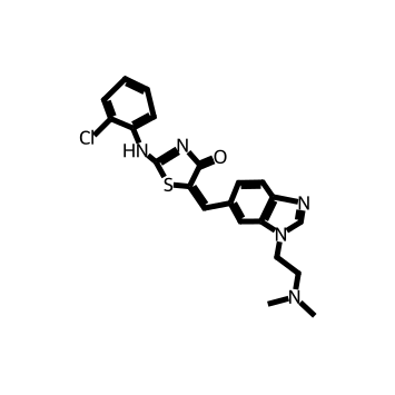 CN(C)CCn1cnc2ccc(C=C3SC(Nc4ccccc4Cl)=NC3=O)cc21